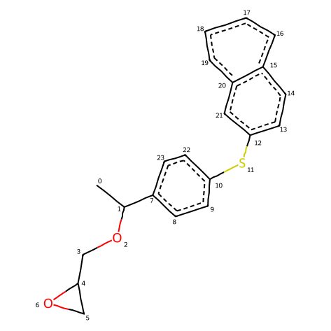 CC(OCC1CO1)c1ccc(Sc2ccc3ccccc3c2)cc1